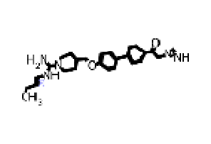 CC/C=C/NC(N)N1CCC(COc2ccc(C3=CCC(C(=O)CN4CN4)CC3)cc2)CC1